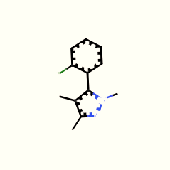 Cc1nn(C)c(-c2ccccc2Cl)c1C